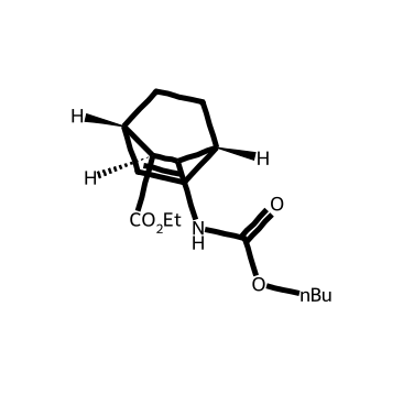 CCCCOC(=O)NC1[C@@H](C(=O)OCC)[C@@H]2C=C[C@H]1CC2